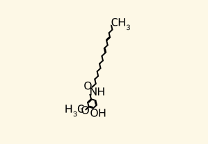 CCCC/C=C/C/C=C/CCCCCCCCC(=O)NCc1ccc(O)c(OC)c1